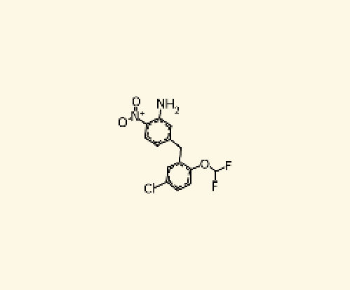 Nc1cc(Cc2cc(Cl)ccc2OC(F)F)ccc1[N+](=O)[O-]